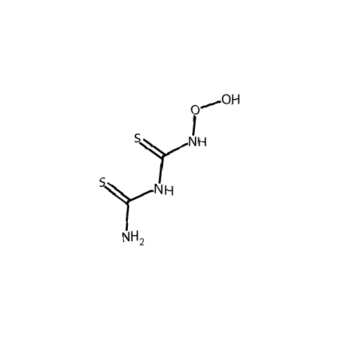 NC(=S)NC(=S)NOO